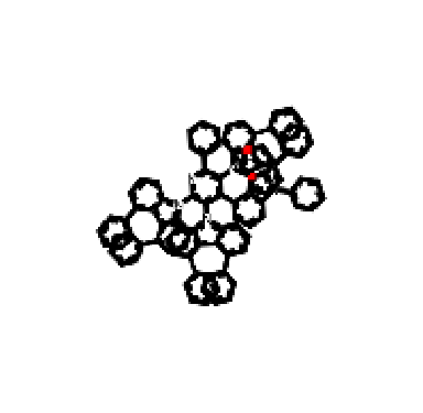 c1ccc(-c2nc(-n3c4cccc(-c5ccccc5)c4c4c(-c5ccccc5)cccc43)c(-n3c4cccc(-c5ccccc5)c4c4c(-c5ccccc5)cccc43)c(-c3cccc4c3c3ccccc3n4-c3ccccc3)c2-n2c3cccc(-c4ccccc4)c3c3c(-c4ccccc4)cccc32)cc1